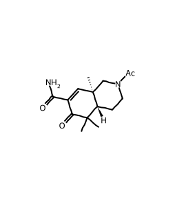 CC(=O)N1CC[C@@H]2C(C)(C)C(=O)C(C(N)=O)=C[C@@]2(C)C1